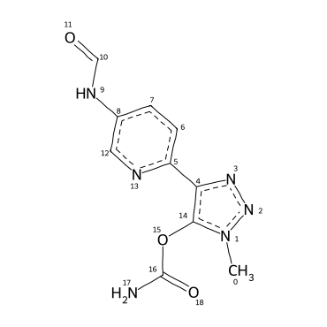 Cn1nnc(-c2ccc(NC=O)cn2)c1OC(N)=O